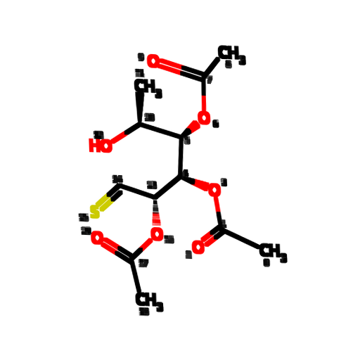 CC(=O)O[C@H]([C@H](OC(C)=O)[C@H](C)O)[C@@H](C=S)OC(C)=O